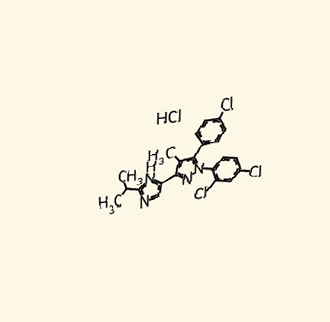 Cc1c(-c2cnc(C(C)C)[nH]2)nn(-c2ccc(Cl)cc2Cl)c1-c1ccc(Cl)cc1.Cl